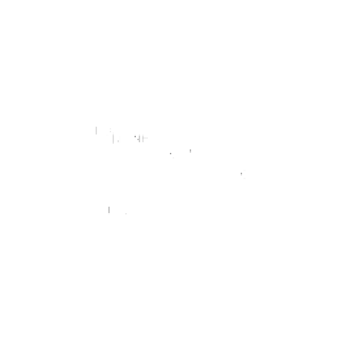 C=Cc1cccc(N(C)N)c1COc1ccn(-c2ccc(Cl)cc2)n1